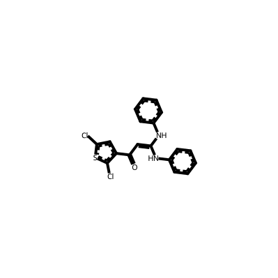 O=C(C=C(Nc1ccccc1)Nc1ccccc1)c1cc(Cl)sc1Cl